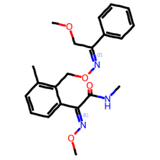 CNC(=O)/C(=N/OC)c1cccc(C)c1CO/N=C(\COC)c1ccccc1